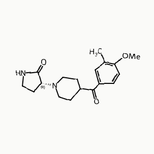 COc1ccc(C(=O)C2CCN([C@@H]3CCNC3=O)CC2)cc1C